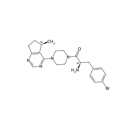 C[C@@H]1CCc2ncnc(N3CCN(C(=O)[C@H](N)Cc4ccc(Br)cc4)CC3)c21